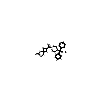 CC(c1ccccc1)(c1ccccc1)C1CCN(C(=O)C2CC3(COC(=O)N3)C2)CC1